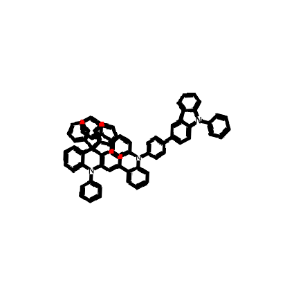 c1ccc(-c2ccc(N(c3ccc(-c4ccc5c(c4)c4ccccc4n5-c4ccccc4)cc3)c3ccccc3-c3ccc4c(c3)N(c3ccccc3)c3ccccc3C4(c3ccccc3)c3ccccc3)cc2)cc1